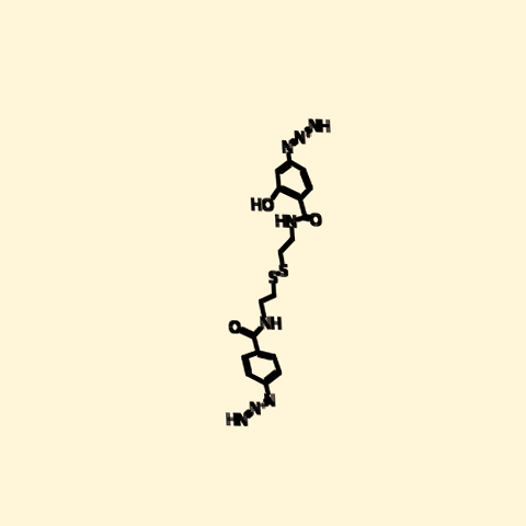 N=[N+]=Nc1ccc(C(=O)NCCSSCCNC(=O)c2ccc(N=[N+]=N)cc2O)cc1